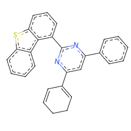 C1=CC(c2cc(-c3ccccc3)nc(-c3cccc4sc5ccccc5c34)n2)=CCC1